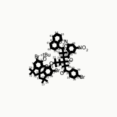 CC(C)(C)Oc1c(Br)cc2c(c1Br)C1(CC(C)(C)c3cc(Br)c(OC(C)(C)C(C)(C)C(C)(C(C)(C)C(=O)c4ccc(Br)cc4)C(C)(C(=O)c4cc([N+](=O)[O-])cc([N+](=O)[O-])c4)C(C)(C)C(=O)c4cccc5ccccc45)cc31)CC2(C)C